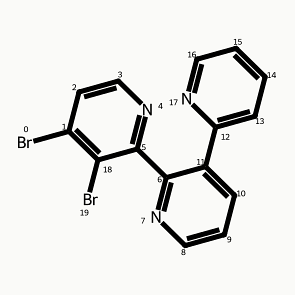 Brc1ccnc(-c2ncccc2-c2ccccn2)c1Br